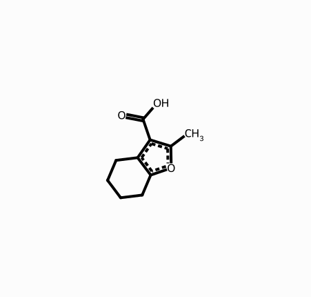 Cc1oc2c(c1C(=O)O)CCCC2